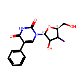 O=c1[nH]c(=O)n([C@H]2O[C@@H](CO)C(I)C2O)cc1-c1ccccc1